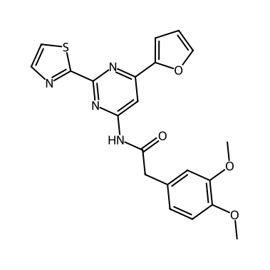 COc1ccc(CC(=O)Nc2cc(-c3ccco3)nc(-c3nccs3)n2)cc1OC